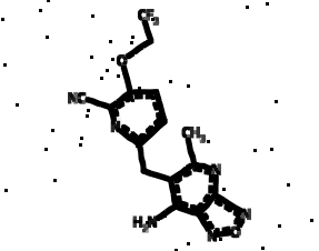 Cc1nc2nonc2c(N)c1Cc1ccc(OCC(F)(F)F)c(C#N)n1